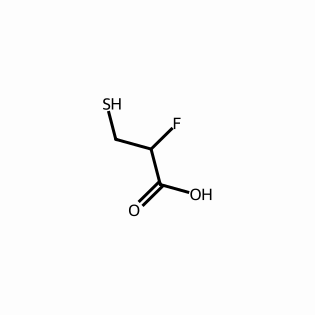 O=C(O)C(F)CS